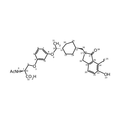 CC(=O)N[C@@H](COc1cccc(OC(C)[C@H]2CC[C@H](CN3Cc4ccc(O)c(F)c4C3=O)CC2)c1)C(=O)O